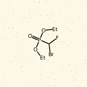 CCOP(=O)(OCC)C(F)Br